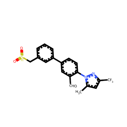 Cc1cc(C(F)(F)F)nn1-c1ccc(-c2cccc(C[SH](=O)=O)c2)cc1C=O